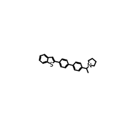 CC(c1ccc(-c2ccc(-c3cc4ccccc4s3)cc2)cc1)N1CCCC1